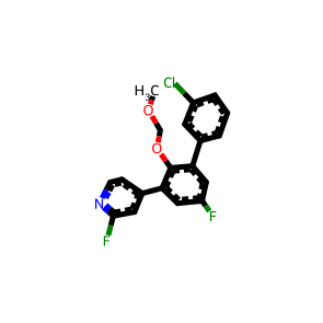 COCOc1c(-c2cccc(Cl)c2)cc(F)cc1-c1ccnc(F)c1